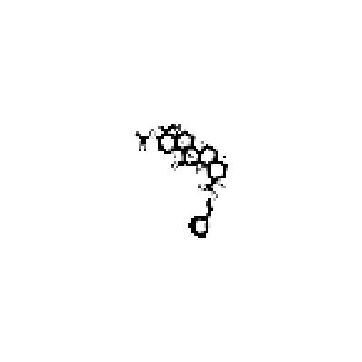 CC(=O)O[C@H]1CC[C@@]2(C)[C@@H](CC[C@]3(C)[C@]2(C)C(=O)C=C2[C@@H]4C[C@@](C)(C(=O)O/C=C/c5ccccc5)CC[C@]4(C)CC[C@]23C)C1(C)C